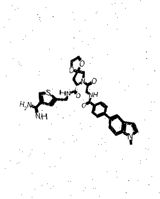 Cn1ccc2cc(-c3ccc(C(=O)NCC(=O)N4CC5(C[C@H]4C(=O)NCc4cc(C(=N)N)cs4)OCCO5)cc3)ccc21